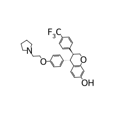 Oc1ccc2c(c1)OC[C@H](c1ccc(C(F)(F)F)cc1)[C@H]2c1ccc(OCCN2CCCC2)cc1